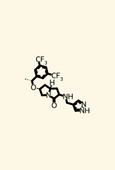 C[C@@H](O[C@@H]1C[C@@H]2CC(NCc3cn[nH]c3)C(=O)N2C1)c1cc(C(F)(F)F)cc(C(F)(F)F)c1